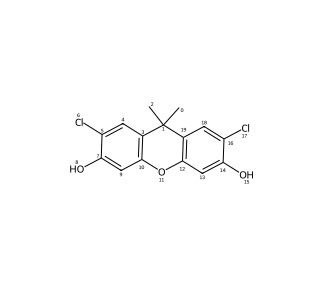 CC1(C)c2cc(Cl)c(O)cc2Oc2cc(O)c(Cl)cc21